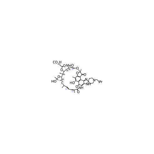 CO[C@H]1/C=C/OC2(C)Oc3c(C)c(O)c4c(c3C2=O)C2=NC3(CCN(CC(C)C)CC3)NC2=C(NC(=O)/C(C)=C\C=C\C(C)C[C@@H](C)C(OC(C)(C)O)[C@@H](C)C(OC(=O)CC(=O)O)[C@@H]1C)C4=O